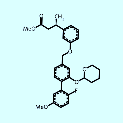 COC(=O)C[C@@H](C)c1cccc(OCc2ccc(-c3cc(OC)ccc3F)c(OC3CCCCO3)c2)c1